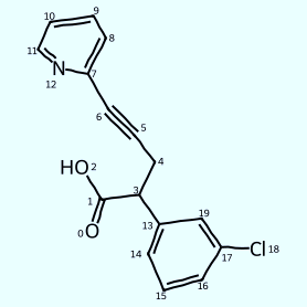 O=C(O)C(CC#Cc1ccccn1)c1cccc(Cl)c1